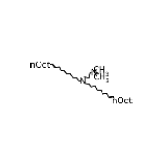 CCCCCCCCC=CCCCCCCCCN(CCCCCCCCC=CCCCCCCCC)CCCN(C)C